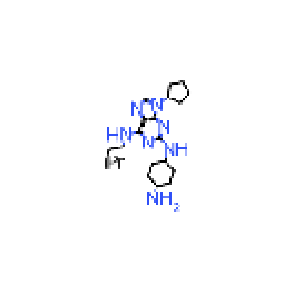 CC(C)CCNc1nc(NC2CCC(N)CC2)nc2c1ncn2C1CCCC1